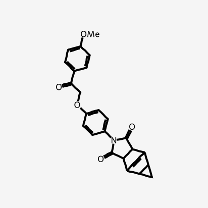 COc1ccc(C(=O)COc2ccc(N3C(=O)C4C5C=CC(C6CC56)C4C3=O)cc2)cc1